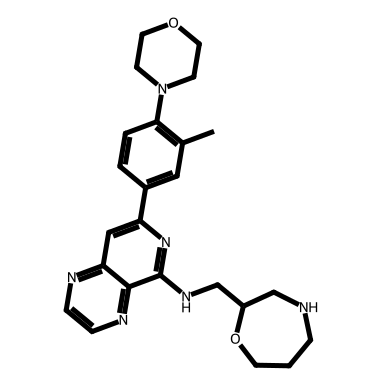 Cc1cc(-c2cc3nccnc3c(NCC3CNCCCO3)n2)ccc1N1CCOCC1